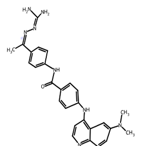 C/C(=N/N=C(N)N)c1ccc(NC(=O)c2ccc(Nc3ccnc4ccc(N(C)C)cc34)cc2)cc1